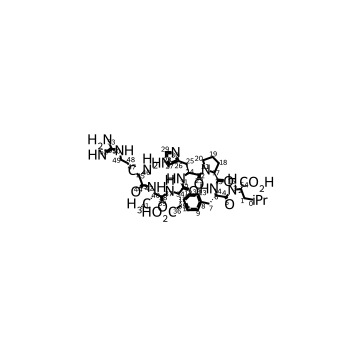 CC(C)C[C@H](NC(=O)[C@H](Cc1ccccc1)NC(=O)[C@@H]1CCCN1C(=O)[C@H](Cc1c[nH]cn1)NC(=O)[C@H](CC(=O)O)NC(=O)[C@H](C)NC(=O)[C@@H](N)CCCNC(=N)N)C(=O)O